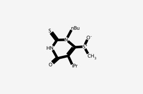 CCCCn1c([S+](C)[O-])c(C(C)C)c(=O)[nH]c1=S